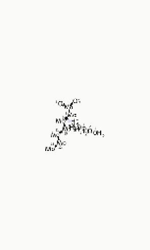 O.O.O.O.[NH4+].[O]=[Mo]([O-])/[Mo]=[Mo]/[Mo][Mo][Mo][Mo]